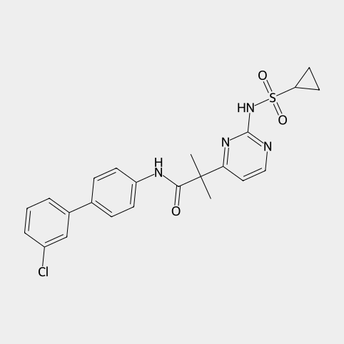 CC(C)(C(=O)Nc1ccc(-c2cccc(Cl)c2)cc1)c1ccnc(NS(=O)(=O)C2CC2)n1